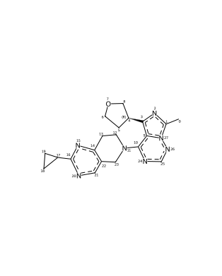 Cc1nc([C@H]2CCOC2)c2c(N3CCc4nc(C5CC5)ncc4C3)ncnn12